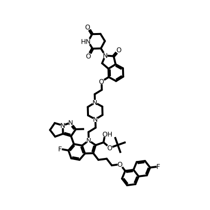 Cc1nn2c(c1-c1c(F)ccc3c(CCCOc4cccc5cc(F)ccc45)c(C(O)OC(C)(C)C)n(CCN4CCN(CCOc5cccc6c5CN(C5CCC(=O)NC5=O)C6=O)CC4)c13)CCC2